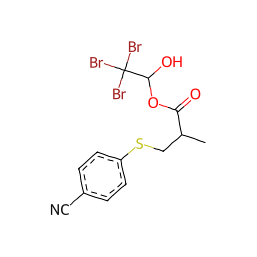 CC(CSc1ccc(C#N)cc1)C(=O)OC(O)C(Br)(Br)Br